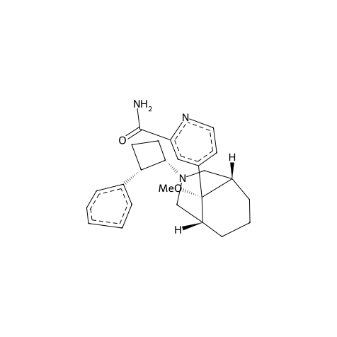 CO[C@@]1(c2ccnc(C(N)=O)c2)[C@@H]2CCC[C@H]1CN([C@H]1CC[C@H]1c1ccccc1)C2